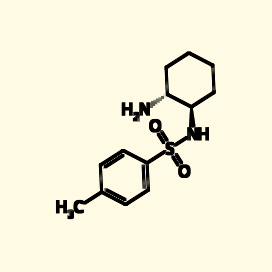 Cc1ccc(S(=O)(=O)N[C@@H]2CCCC[C@H]2N)cc1